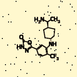 CC(N)[C@H]1CC[C@H](Nc2cc(-c3n[nH]c(=O)o3)ccc2C(F)(F)F)CC1